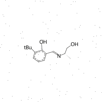 C[C@@H](CO)N=Cc1cccc(C(C)(C)C)c1O